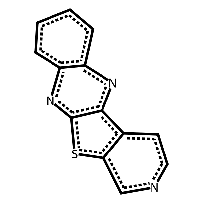 c1ccc2nc3c(nc2c1)sc1cnccc13